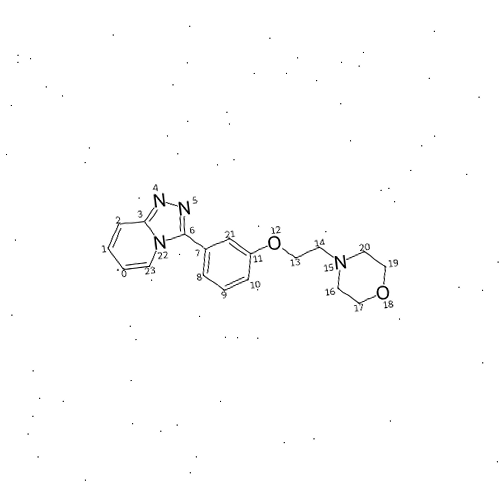 [c]1ccc2nnc(-c3cccc(OCCN4CCOCC4)c3)n2c1